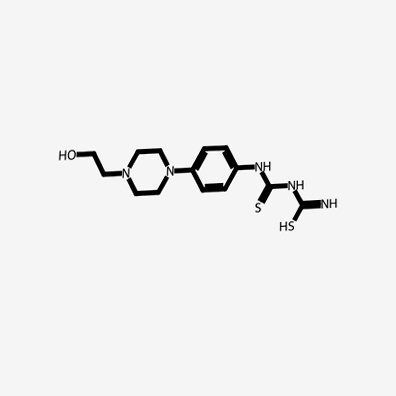 N=C(S)NC(=S)Nc1ccc(N2CCN(CCO)CC2)cc1